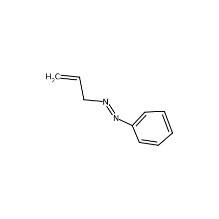 C=CCN=Nc1ccccc1